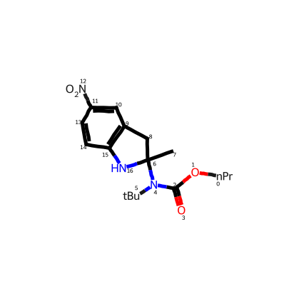 CCCOC(=O)N(C(C)(C)C)C1(C)Cc2cc([N+](=O)[O-])ccc2N1